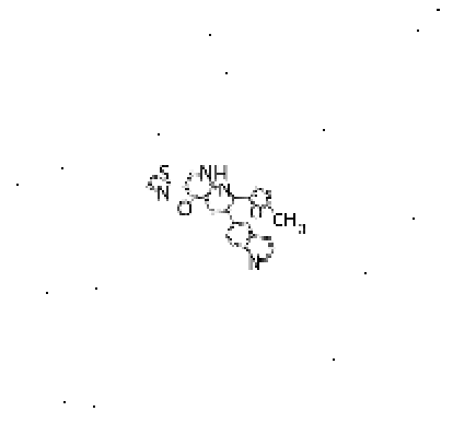 Cc1ccc(-c2nc3[nH]cc(-c4nccs4)c(=O)c3cc2-c2ccc3ncccc3c2)o1